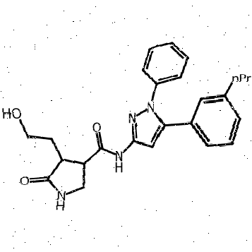 CCCc1cccc(-c2cc(NC(=O)C3CNC(=O)C3CCO)nn2-c2ccccc2)c1